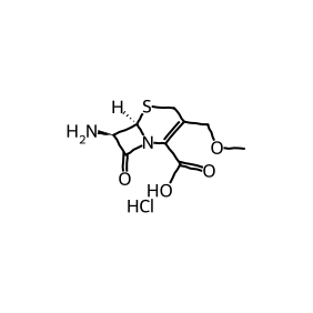 COCC1=C(C(=O)O)N2C(=O)[C@@H](N)[C@H]2SC1.Cl